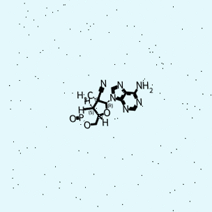 C[C@@]1(C#N)[C@@H]2C[PH](=O)OC[C@H]2O[C@H]1n1cnc2c(N)ncnc21